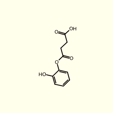 O=C(O)CCC(=O)Oc1ccccc1O